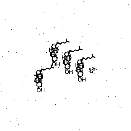 CC(C)CCC[C@@H](C)[C@H]1CC[C@H]2[C@@H]3CC=C4C[C@@H](O)CC[C@]4(C)[C@H]3CC[C@]12C.CC(C)CCC[C@@H](C)[C@H]1CC[C@H]2[C@@H]3CC=C4C[C@@H](O)CC[C@]4(C)[C@H]3CC[C@]12C.CC(C)CCC[C@@H](C)[C@H]1CC[C@H]2[C@@H]3CC=C4C[C@@H](O)CC[C@]4(C)[C@H]3CC[C@]12C.CC(C)CCC[C@@H](C)[C@H]1CC[C@H]2[C@@H]3CC=C4C[C@@H](O)CC[C@]4(C)[C@H]3CC[C@]12C.[S-2].[S-2]